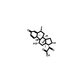 C[C@@H]1C[C@H]2[C@@H]3C[C@H](F)C4=CC(=O)C=C[C@]4(C)[C@H]3[C@@H](O)C[C@]2(C)[C@H]1C(=O)C(=O)O